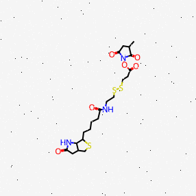 CC1CC(=O)N(OC(=O)CCSSCCNC(=O)CCCCC2SCC3CC(=O)NC32)C1=O